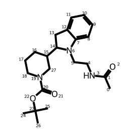 CC(=O)NCCN1c2ccccc2CC1C1CCCN(C(=O)OC(C)(C)C)C1